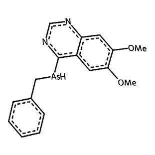 COc1cc2ncnc([AsH]Cc3ccccc3)c2cc1OC